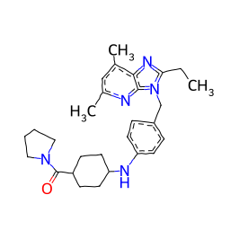 CCc1nc2c(C)cc(C)nc2n1Cc1ccc(NC2CCC(C(=O)N3CCCC3)CC2)cc1